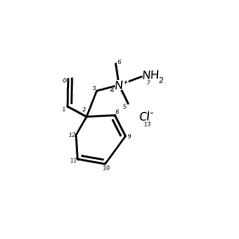 C=CC1(C[N+](C)(C)N)C=CC=CC1.[Cl-]